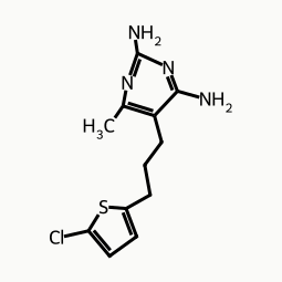 Cc1nc(N)nc(N)c1CCCc1ccc(Cl)s1